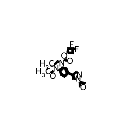 CC(=O)N1c2ccc(-c3cnn(C4COC4)c3)cc2N(C(=O)OC2CC(F)(F)C2)CC1C